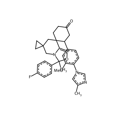 COc1cc(C2CC(=O)CCC23CC2(CC2)CN2C3=NOC2(C)c2ccc(F)cc2)ccc1-n1cnc(C)c1